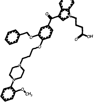 COc1ccccc1N1CCN(CCCOc2ccc(C(=O)c3cn(CCCC(=O)O)c4ccccc34)cc2OCc2ccccc2)CC1